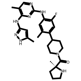 Cc1cc(Nc2nc(Nc3cc(C)c(C4CCN(C(=O)[C@]5(C)CCCN5)CC4)cc3F)ncc2C)n[nH]1